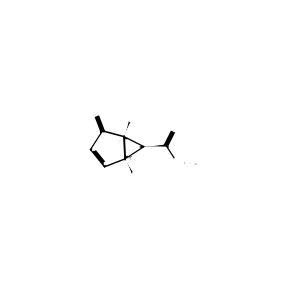 COC(=O)[C@H]1[C@@H]2C=CC(=O)[C@@H]21